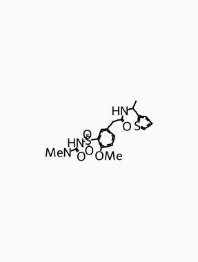 CNC(=O)NS(=O)(=O)c1cc(CC(=O)NC(C)c2cccs2)ccc1OC